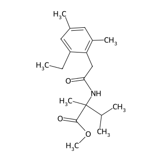 CCc1cc(C)cc(C)c1CC(=O)NC(C)(C(=O)OC)C(C)C